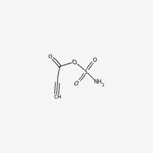 C#CC(=O)OS(N)(=O)=O